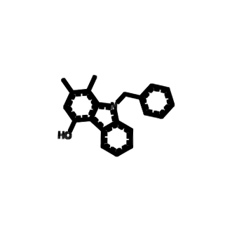 Cc1cc(O)c2c3ccccc3n(Cc3ccccc3)c2c1C